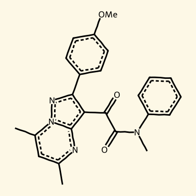 COc1ccc(-c2nn3c(C)cc(C)nc3c2C(=O)C(=O)N(C)c2ccccc2)cc1